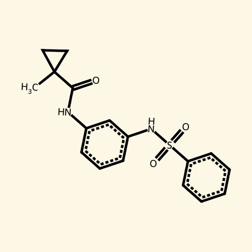 CC1(C(=O)Nc2cccc(NS(=O)(=O)c3ccccc3)c2)CC1